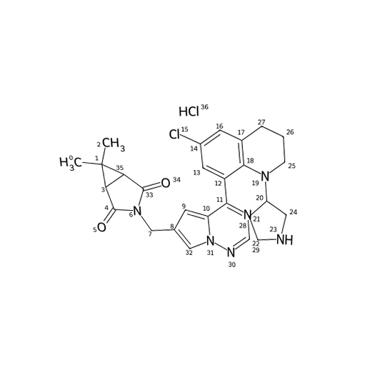 CC1(C)C2C(=O)N(Cc3cc4c(-c5cc(Cl)cc6c5N(C5CCNC5)CCC6)ncnn4c3)C(=O)C21.Cl